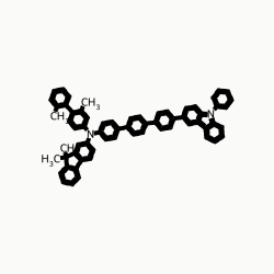 Cc1ccccc1-c1ccc(N(c2ccc(-c3ccc(-c4ccc(-c5ccc6c(c5)c5ccccc5n6-c5ccccc5)cc4)cc3)cc2)c2ccc3c(c2)C(C)(C)c2ccccc2-3)cc1C